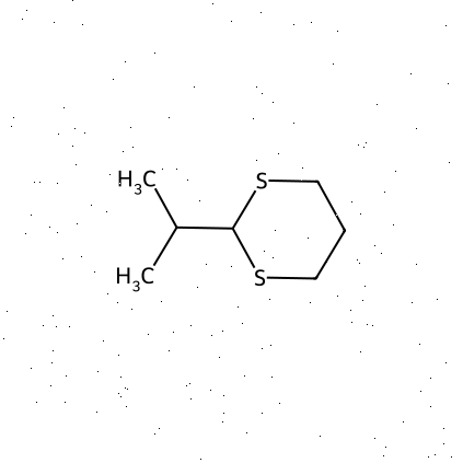 CC(C)C1SCCCS1